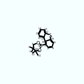 CC1(C)COB(c2cccc3sc4ccccc4c23)OC1(C)C